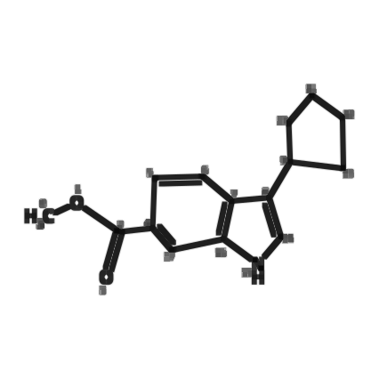 COC(=O)c1ccc2c(C3CCCC3)c[nH]c2c1